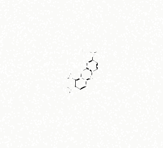 CN(C)c1ccc2nc3ccc(=[N+](C)C)c(N(C)C)c-3sc2c1